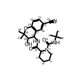 CC(C)(C)NC(=O)N1CCCCC1C(=O)NC1c2cc(C#N)ccc2OC(C)(C)C1O